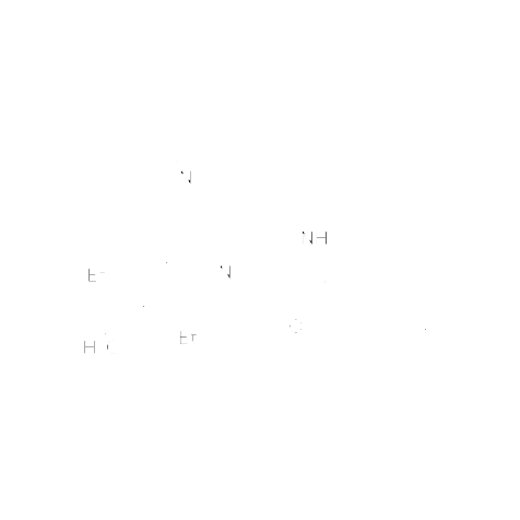 CCC(C)(CC)c1cncc(NC(=O)C2CC2)n1